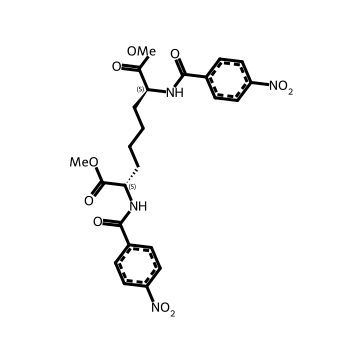 COC(=O)[C@H](CCCC[C@H](NC(=O)c1ccc([N+](=O)[O-])cc1)C(=O)OC)NC(=O)c1ccc([N+](=O)[O-])cc1